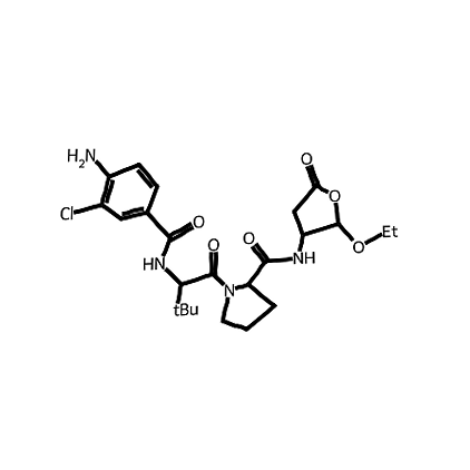 CCOC1OC(=O)CC1NC(=O)C1CCCN1C(=O)C(NC(=O)c1ccc(N)c(Cl)c1)C(C)(C)C